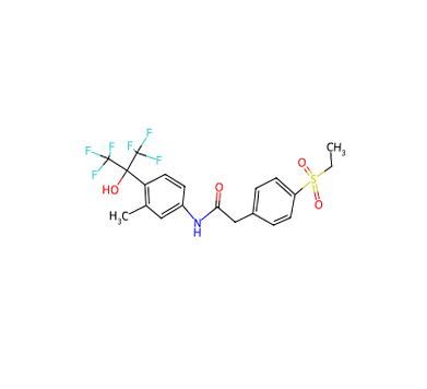 CCS(=O)(=O)c1ccc(CC(=O)Nc2ccc(C(O)(C(F)(F)F)C(F)(F)F)c(C)c2)cc1